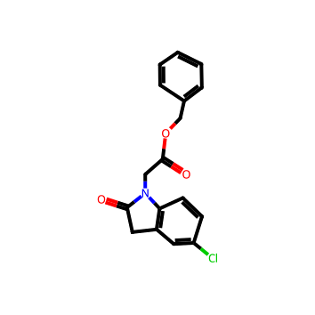 O=C(CN1C(=O)Cc2cc(Cl)ccc21)OCc1ccccc1